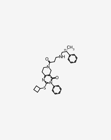 C[C@@H](CNCCC(=O)N1CCc2nc(SC3CCC3)n(-c3ccccc3)c(=O)c2C1)c1ccccc1